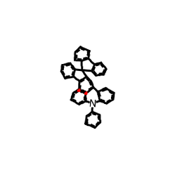 c1ccc(N(c2ccccc2)c2ccccc2-c2ccc3c(c2)C2(c4ccccc4-c4ccccc42)c2ccccc2-3)cc1